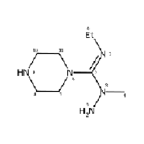 CC/N=C(/N(C)N)N1CCNCC1